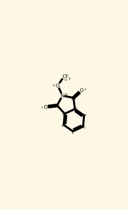 O=C1c2ccccc2C(=O)N1OC(F)(F)F